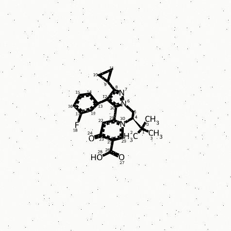 CC(C)(C)[C@@H]1Cn2nc(C3CC3)c(-c3cccc(F)c3)c2-c2cc(=O)c(C(=O)O)cn21